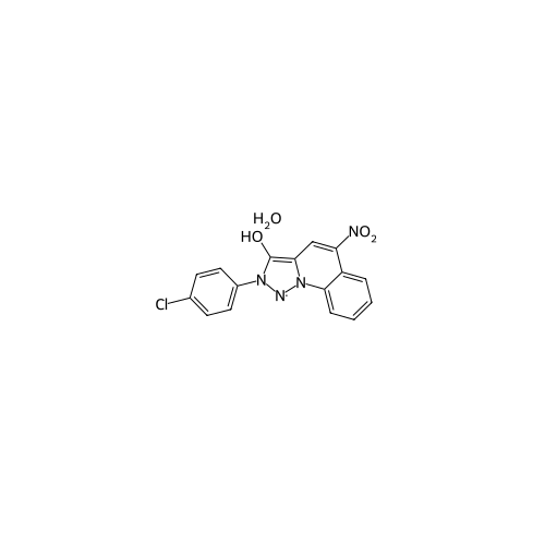 O.O=[N+]([O-])C1=CC2=C(O)N(c3ccc(Cl)cc3)[N]N2c2ccccc21